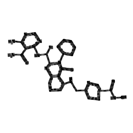 CCC(Nc1ncnc(N)c1C(N)=O)c1nc2cccc(NCc3ccc(C(=O)NO)cn3)c2c(=O)n1-c1ccccc1